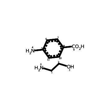 NCCO.Nc1ccc(C(=O)O)cc1